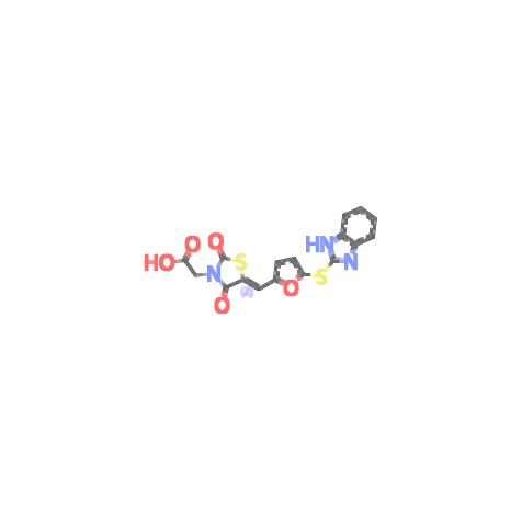 O=C(O)CN1C(=O)S/C(=C\c2ccc(Sc3nc4ccccc4[nH]3)o2)C1=O